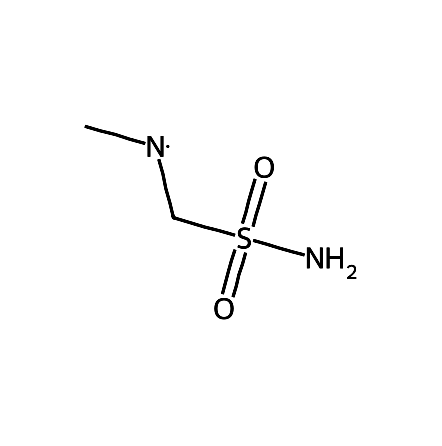 C[N]CS(N)(=O)=O